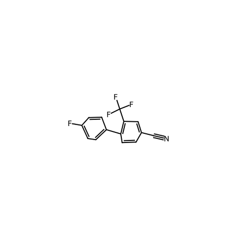 N#Cc1ccc(-c2ccc(F)cc2)c(C(F)(F)F)c1